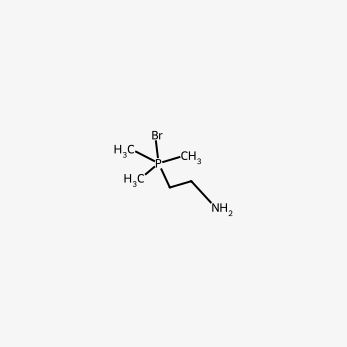 CP(C)(C)(Br)CCN